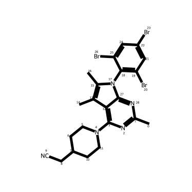 Cc1nc(N2CCC(CC#N)CC2)c2c(C)c(C)n(-c3c(Br)cc(Br)cc3Br)c2n1